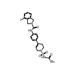 CC(C)(C)C(=O)NS(=O)(=O)N1CC=C(c2ccc(NC(=O)N3Cc4cccc(F)c4C3)cc2)CC1